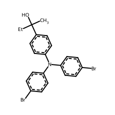 CCC(C)(O)c1ccc(N(c2ccc(Br)cc2)c2ccc(Br)cc2)cc1